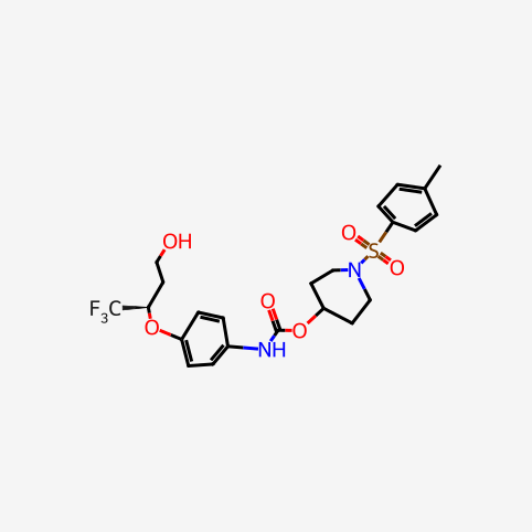 Cc1ccc(S(=O)(=O)N2CCC(OC(=O)Nc3ccc(O[C@H](CCO)C(F)(F)F)cc3)CC2)cc1